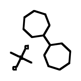 C1CCCC(C2CCCCCC2)CC1.C[Si](C)(Cl)Cl